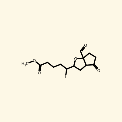 COC(=O)CCCC(I)C1CC2C(=O)CCC2(C=O)O1